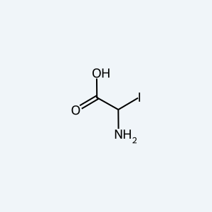 NC(I)C(=O)O